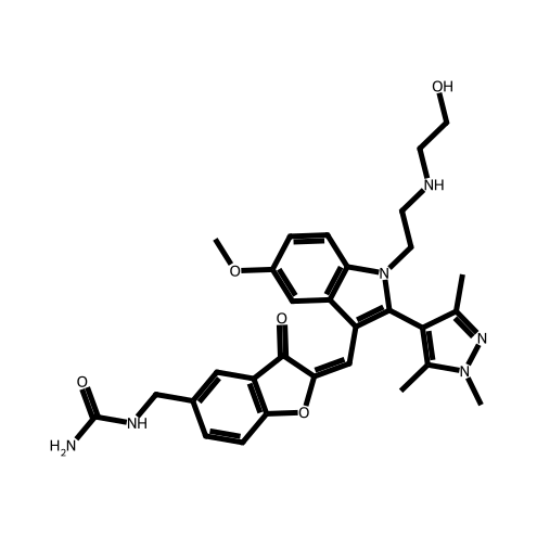 COc1ccc2c(c1)c(C=C1Oc3ccc(CNC(N)=O)cc3C1=O)c(-c1c(C)nn(C)c1C)n2CCNCCO